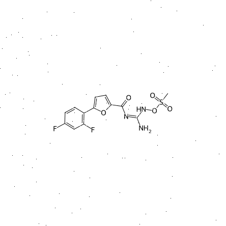 CS(=O)(=O)ONC(N)=NC(=O)c1ccc(-c2ccc(F)cc2F)o1